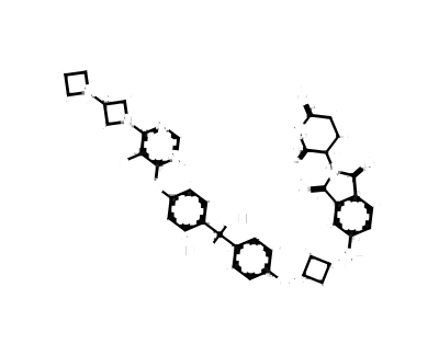 CC(C)(c1ccc(Oc2ncnc(N3CC(N4CCC4)C3)c2F)cc1)c1ccc(O[C@H]2C[C@@H](Nc3ccc4c(c3)C(=O)N(C3CCC(=O)NC3=O)C4=O)C2)cc1